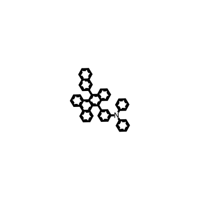 c1ccc(N(c2ccccc2)c2cccc(-c3c4ccccc4c(-c4ccc5ccccc5c4)c4c5ccccc5c5ccccc5c34)c2)cc1